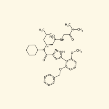 COc1cccc(OCc2ccccc2)c1-c1cc(C(=O)N(C2CCCCC2)[C@H](CC(=O)NCC(=O)N(C)C)CC(C)C)n[nH]1